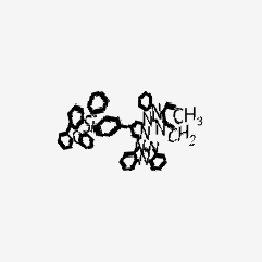 C=Cc1nc2n(-c3cc(-c4ccc([Si](c5ccccc5)(c5ccccc5)c5cccc6c5oc5ccccc56)cc4)cc(-n4c5ccccc5n5c6ccccc6nc45)n3)c3ccccc3n2c1/C=C\C